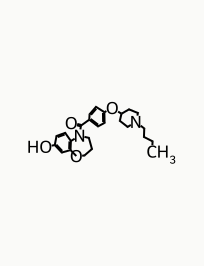 CCCCN1CCC(Oc2ccc(C(=O)N3CCCOc4cc(O)ccc43)cc2)CC1